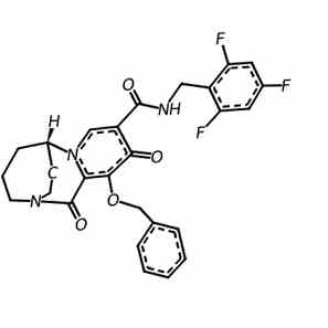 O=C(NCc1c(F)cc(F)cc1F)c1cn2c(c(OCc3ccccc3)c1=O)C(=O)N1CCC[C@H]2CC1